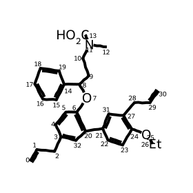 C=CCc1ccc(OC(CCN(C)C(=O)O)c2ccccc2)c(-c2ccc(OCC)c(CC=C)c2)c1